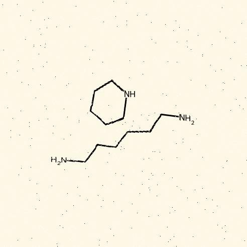 C1CCNCC1.NCCCCCCN